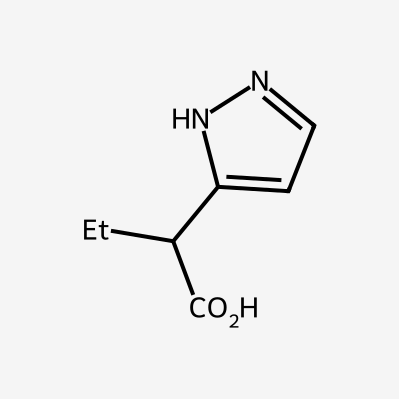 CCC(C(=O)O)c1ccn[nH]1